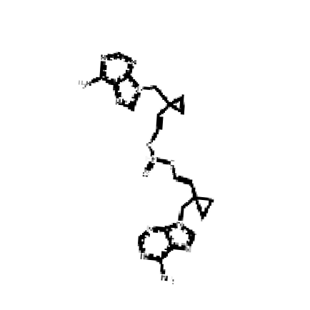 Nc1ncnc2c1ncn2CC1(C=CO[PH](=O)OC=CC2(Cn3cnc4c(N)ncnc43)CC2)CC1